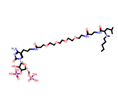 CCCCCN(C)C(CC(C)C)C(=O)NCCC(=O)NCCOCCOCCOCCOCCC(=O)NCCCc1cn([C@@H]2O[C@H](COP(=O)(O)O)C(OP(=O)(O)O)C2O)c(=O)nc1N